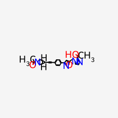 CC(=O)N1C[C@@H]2C(C#Cc3ccc(-c4cc(Cn5ccnc5[C@H](C)O)on4)cc3)[C@@H]2C1